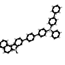 Cn1c2cc(-c3ccc(-c4ccc(N(c5ccccc5)c5ccc(-c6ccccc6)cc5)cc4)cc3)ccc2c2c3ccccc3ccc21